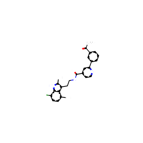 CNC(=O)c1cccc(-c2cc(C(=O)NCCc3c(C)[nH]c4c(F)ccc(C)c34)ccn2)c1